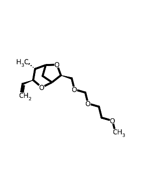 C=C[C@@H]1OC2CC(O[C@H]2COCOCCOC)[C@H]1C